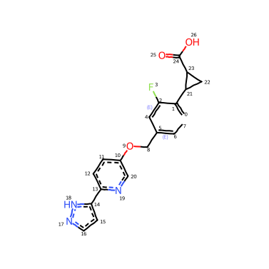 C=C(/C(F)=C\C(=C/C)COc1ccc(-c2ccn[nH]2)nc1)C1CC1C(=O)O